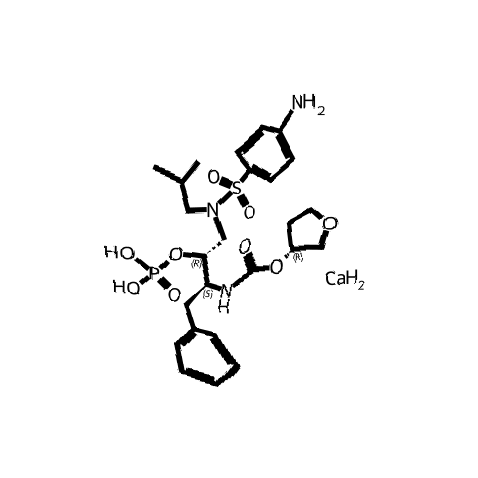 CC(C)CN(C[C@@H](OP(=O)(O)O)[C@H](Cc1ccccc1)NC(=O)O[C@@H]1CCOC1)S(=O)(=O)c1ccc(N)cc1.[CaH2]